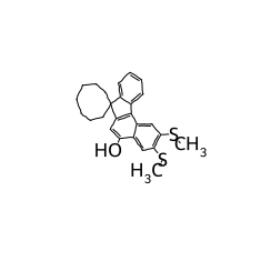 CSc1cc2c(O)cc3c(c2cc1SC)-c1ccccc1C31CCCCCCC1